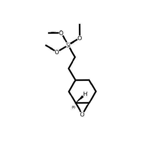 CO[Si](CCC1CCC2O[C@@H]2C1)(OC)OC